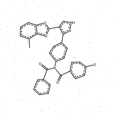 Cc1cccc2oc(-c3c[nH]nc3-c3ccc(N(C(=O)c4ccccc4)C(=O)c4ccc(Cl)cc4)cc3)nc12